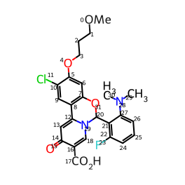 COCCCOc1cc2c(cc1Cl)-c1cc(=O)c(C(=O)O)cn1C(c1c(F)cccc1N(C)C)O2